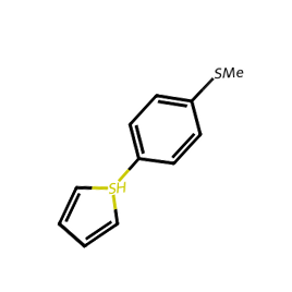 CSc1ccc([SH]2C=CC=C2)cc1